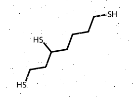 SCCCCC(S)CCS